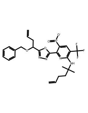 C=CCCC(C)(C)Nc1nc(-c2nnc(C(CC=C)OCc3ccccc3)o2)c([N+](=O)[O-])cc1C(F)(F)F